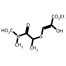 CCOC(=O)C(O)=CSC(C)C(=O)N(C)C(=O)O